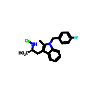 Cc1c(C[C@H](NCl)C(=O)O)c2ccccc2n1Cc1ccc(F)cc1